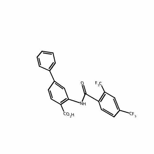 O=C(O)c1ccc(-c2ccccc2)cc1NC(=O)c1ccc(C(F)(F)F)cc1C(F)(F)F